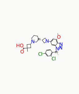 COc1cc(N2CC([C@H]3CCCN(C4CC(C)(C(=O)O)C4)C3)C2)cc2c1nnn2[C@H](C)c1ccc(Cl)cc1Cl